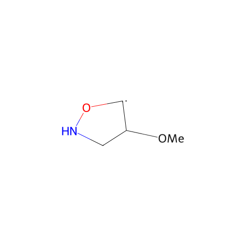 COC1[CH]ONC1